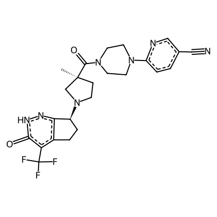 C[C@]1(C(=O)N2CCN(c3ccc(C#N)cn3)CC2)CCN([C@H]2CCc3c2n[nH]c(=O)c3C(F)(F)F)C1